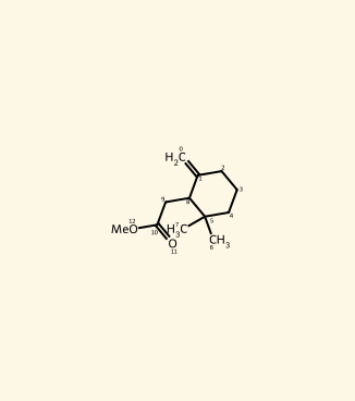 C=C1CCCC(C)(C)C1CC(=O)OC